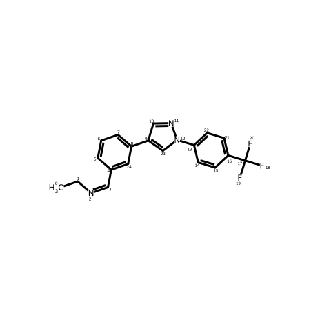 CC/N=C\c1cccc(-c2cnn(-c3ccc(C(F)(F)F)cc3)c2)c1